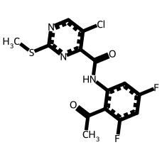 CSc1ncc(Cl)c(C(=O)Nc2cc(F)cc(F)c2C(C)=O)n1